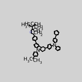 C=C(/C=C\C(=C)C(CC)C(C)(C)C)c1ccc(-c2ccc3c(c2)C2CC(c4ccc(N(c5ccccc5)c5ccc(-c6ccccc6)cc5)cc4)CCC2N3c2ccc(C(C)C)cc2)cc1